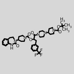 CC(C)(C)OC(=O)N1CCC(N2CCN(C(=O)C(Cc3cccc(C(F)(F)F)c3)OC(=O)N3CCC(N4CCc5ccccc5NC4=O)CC3)CC2)CC1